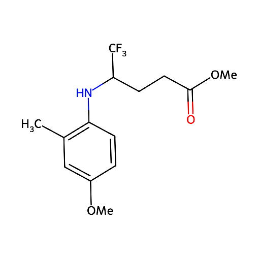 COC(=O)CCC(Nc1ccc(OC)cc1C)C(F)(F)F